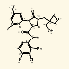 Cc1cc(C(F)(F)F)cc(N2C(=O)N(CC3(CO)COC3)C[C@H]2C(=O)N(C)c2ccc(F)c(Cl)c2F)n1